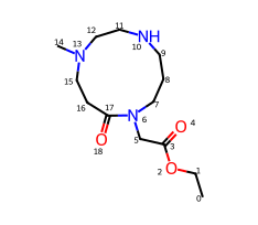 CCOC(=O)CN1CCCNCCN(C)CCC1=O